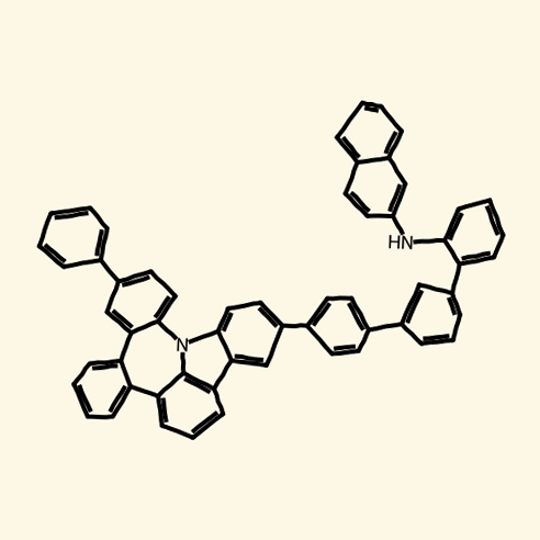 c1ccc(-c2ccc3c(c2)-c2ccccc2-c2cccc4c5cc(-c6ccc(-c7cccc(-c8ccccc8Nc8ccc9ccccc9c8)c7)cc6)ccc5n-3c24)cc1